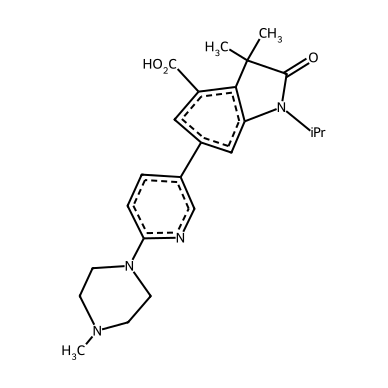 CC(C)N1C(=O)C(C)(C)c2c(C(=O)O)cc(-c3ccc(N4CCN(C)CC4)nc3)cc21